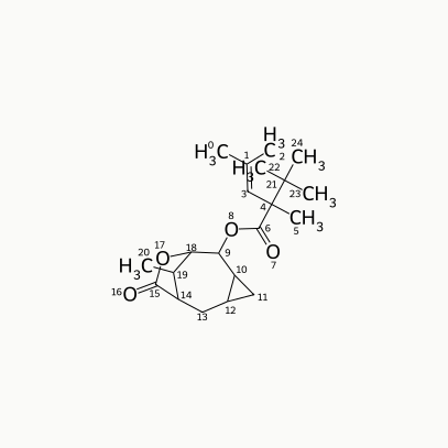 CC(C)=CC(C)(C(=O)OC1C2CC2CC2C(=O)OC1C2C)C(C)(C)C